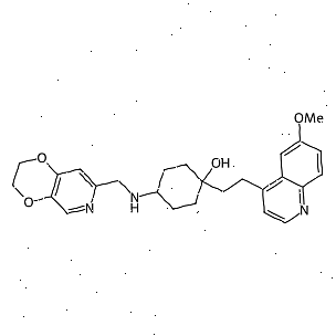 COc1ccc2nccc(CCC3(O)CCC(NCc4cc5c(cn4)OCCO5)CC3)c2c1